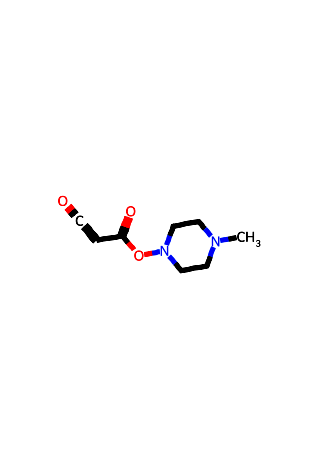 CN1CCN(OC(=O)C=C=O)CC1